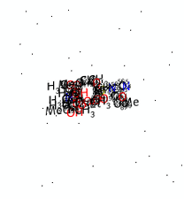 CC[C@H]1OC(=O)[C@H](C)[C@@H](O[C@H]2C[C@@](C)(OC)[C@@H](O)[C@H](C)O2)[C@H](C)[C@@H](O[C@@H]2O[C@H](C)C[C@H](N(C)C)[C@H]2O)[C@](C)(OC)C[C@@H](C)C(=O)[C@H](C)[C@H]2[C@H](SCCN(Cc3ccncc3)c3ccc(OC)c(OC4CCCC4)c3)C(=O)O[C@@]21C